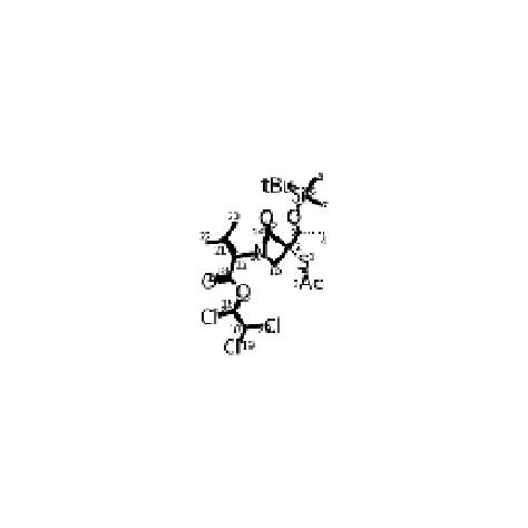 CC(=O)S[C@]1([C@@H](C)O[Si](C)(C)C(C)(C)C)CN(C(C(=O)OC(Cl)C(Cl)Cl)=C(C)C)C1=O